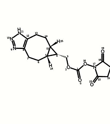 O=C(OC[C@@H]1[C@@H]2CCc3nn[nH]c3CC[C@@H]21)ON1C(=O)CCC1=O